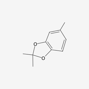 Cc1ccc2c(c1)OC(C)(C)O2